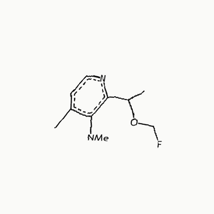 CNc1c(C)ccnc1C(C)OCF